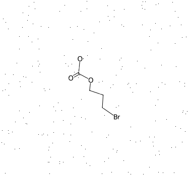 [O]C(=O)OCCCBr